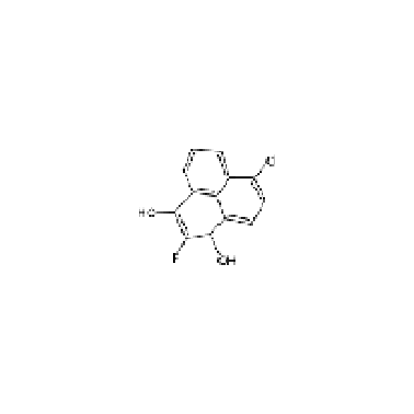 OC1=C(F)C(O)c2ccc(Cl)c3cccc1c23